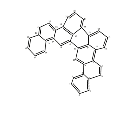 c1ccc2c(c1)ccc1c2cc2c3cc4c5ccccc5ccc4c4cccc(c5cccc1c52)c43